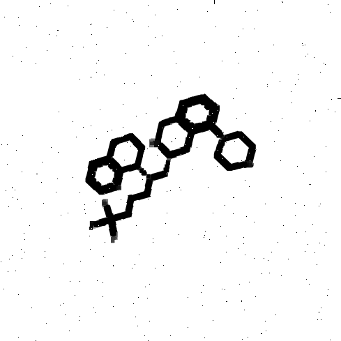 FC(F)(F)CCCN(C[C@H]1Cc2c(cccc2N2CCOCC2)CN1)[C@H]1CCCc2cccnc21